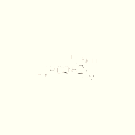 COc1cc(N2C=C3CN(C(=O)OC(C)(C)C)CC3C2)nc(N(C)C)n1